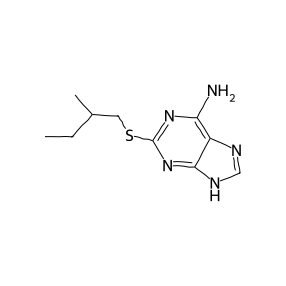 CCC(C)CSc1nc(N)c2nc[nH]c2n1